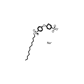 CCCCCCCCCCCCOS(=O)(=O)c1ccc(Oc2ccc(S(=O)(=O)[O-])cc2)cc1.[Na+]